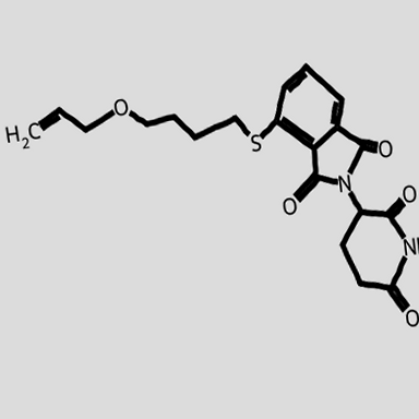 C=CCOCCCCSc1cccc2c1C(=O)N(C1CCC(=O)NC1=O)C2=O